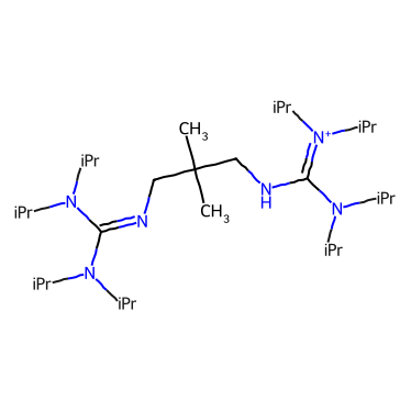 CC(C)N(C(=NCC(C)(C)CNC(N(C(C)C)C(C)C)=[N+](C(C)C)C(C)C)N(C(C)C)C(C)C)C(C)C